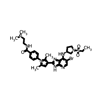 CCS(=O)(=O)N1CC[C@H](Nc2c(Br)cnc3[nH]c(-c4cc(C)n(-c5ccc(C(=O)NCCN(C)C)cc5)c4C)nc23)C1